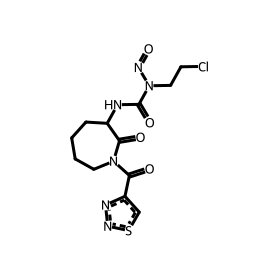 O=NN(CCCl)C(=O)NC1CCCCN(C(=O)c2csnn2)C1=O